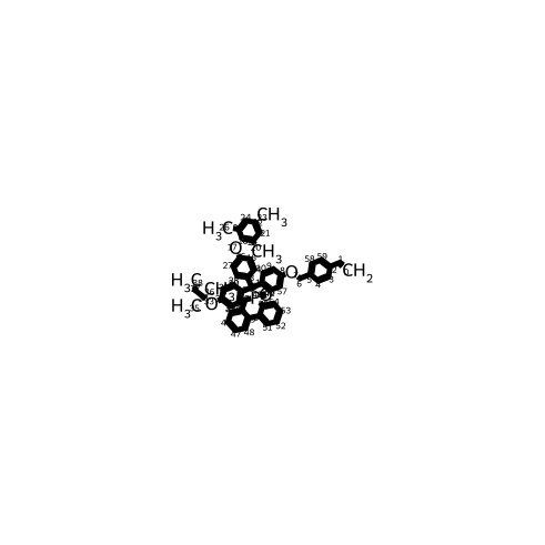 C=Cc1ccc(COc2ccc(C(c3ccc(Oc4c(C)cc(C)cc4C)cc3)(c3ccc(OC(C)(C)CC)cc3)P3(=O)Cc4ccccc4-c4ccccc43)cc2)cc1